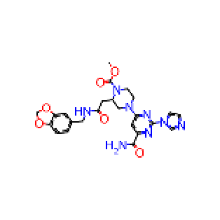 COC(=O)N1CCN(c2cc(C(N)=O)nc(-n3ccnc3)n2)CC1CC(=O)NCc1ccc2c(c1)OCO2